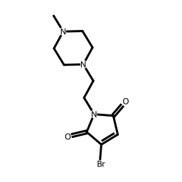 CN1CCN(CCN2C(=O)C=C(Br)C2=O)CC1